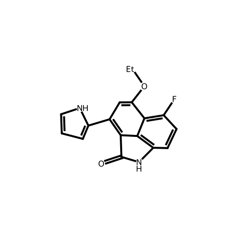 CCOc1cc(-c2ccc[nH]2)c2c3c(ccc(F)c13)NC2=O